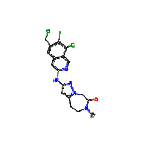 CC(C)N1CCc2cc(Nc3cc4cc(CCl)c(F)c(Cl)c4cn3)nn2CC1=O